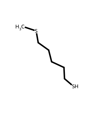 CSCCCCCS